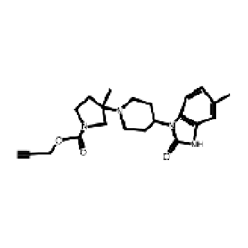 C#CCOC(=O)N1CCC(C)(N2CCC(n3c(=O)[nH]c4cc(C)ccc43)CC2)C1